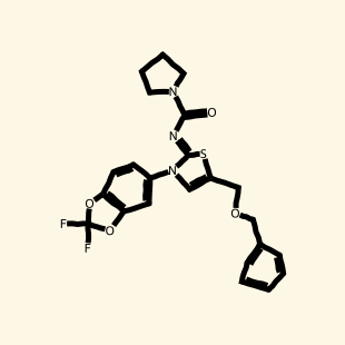 O=C(N=c1sc(COCc2ccccc2)cn1-c1ccc2c(c1)OC(F)(F)O2)N1CCCC1